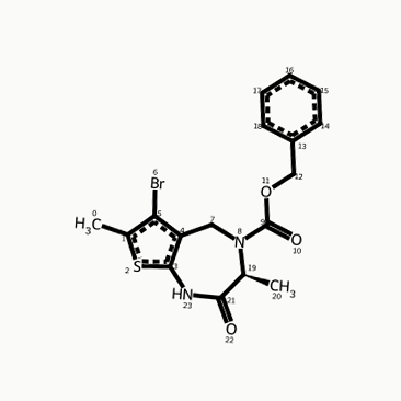 Cc1sc2c(c1Br)CN(C(=O)OCc1ccccc1)[C@@H](C)C(=O)N2